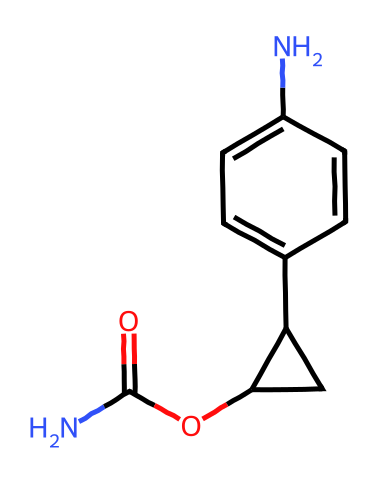 NC(=O)OC1CC1c1ccc(N)cc1